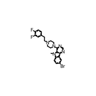 Cn1c2ccc(Br)cc2c2ncnc(N3CCN(CCc4ccc(F)c(F)c4)CC3)c21